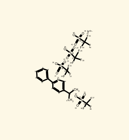 CC(C)c1ccc(-c2ccccc2)nc1.O=S(=O)([O-])C(F)(F)F.O=S(=O)([O-])C(F)(F)F.O=S(=O)([O-])C(F)(F)F.O=S(=O)([O-])C(F)(F)F.[Ir+4]